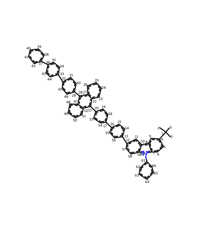 CC(C)(C)c1ccc2c(c1)c1cc(-c3ccc(-c4ccc(-c5c6ccccc6c(-c6ccc(-c7ccc(-c8ccccc8)cc7)cc6)c6ccccc56)cc4)cc3)ccc1n2-c1ccccc1